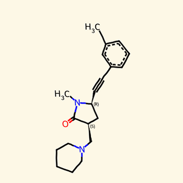 Cc1cccc(C#C[C@H]2C[C@@H](CN3CCCCC3)C(=O)N2C)c1